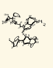 Cc1ccc(-c2cc3c(cc2Sc2nc4c(N)ncnc4n2CCNC(=O)C2CC2)OCO3)o1